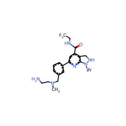 CC(C)N1NCc2c(C(=O)NCC(F)(F)F)cc(-c3cccc(CN(C)CCN)c3)nc21